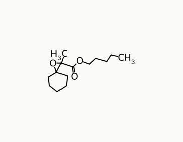 CCCCCOC(=O)C1(C)OC12CCCCC2